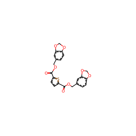 O=C(OCc1ccc2c(c1)OCO2)c1ccc(C(=O)OCc2ccc3c(c2)OCO3)s1